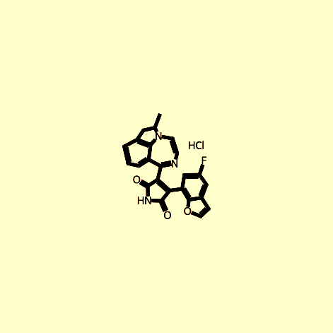 CC1Cc2cccc3c2N1C=CN=C3C1=C(c2cc(F)cc3ccoc23)C(=O)NC1=O.Cl